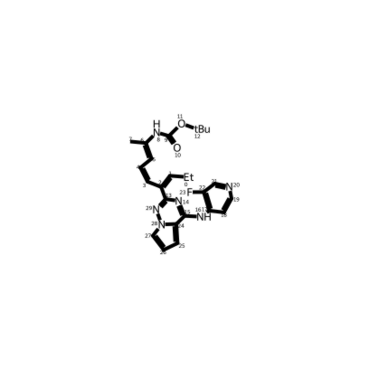 CC/C=C(/C=C\C=C(/C)NC(=O)OC(C)(C)C)c1nc(Nc2ccncc2F)c2cccn2n1